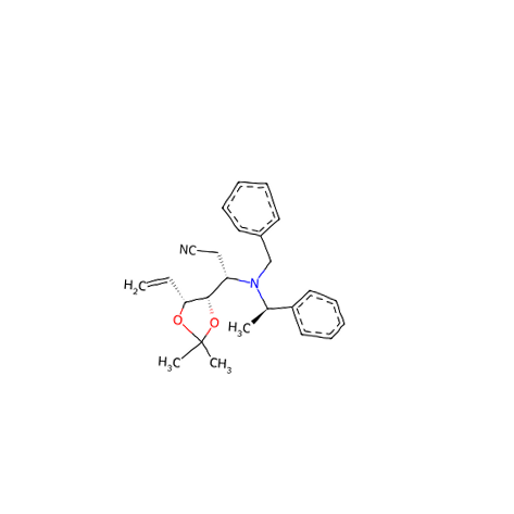 C=C[C@H]1OC(C)(C)O[C@H]1[C@H](CC#N)N(Cc1ccccc1)[C@H](C)c1ccccc1